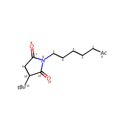 CC(=O)CCCCCN1C(=O)CC(C(C)(C)C)C1=O